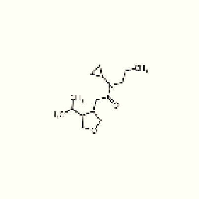 CCCN(C(=O)CC1COCC1C(C)C)C1CC1